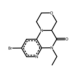 CCN1C(=O)C2COCCN2c2cc(Br)cnc21